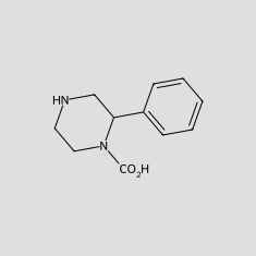 O=C(O)N1CCNCC1c1ccccc1